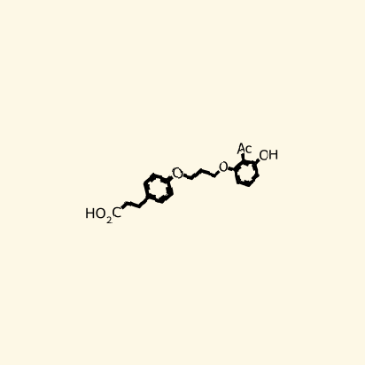 CC(=O)c1c(O)cccc1OCCCOc1ccc(CCC(=O)O)cc1